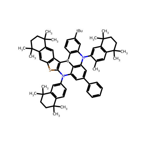 Cc1cc2c(cc1N1c3cc(C(C)(C)C)ccc3B3c4c1cc(-c1ccccc1)cc4N(c1ccc4c(c1)C(C)(C)CCC4(C)C)c1sc4cc5c(cc4c13)C(C)(C)CCC5(C)C)C(C)(C)CCC2(C)C